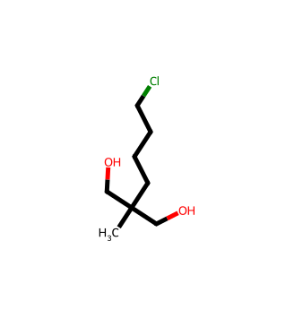 CC(CO)(CO)CCCCCl